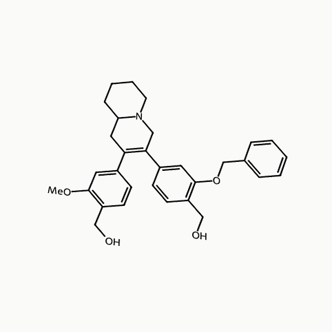 COc1cc(C2=C(c3ccc(CO)c(OCc4ccccc4)c3)CN3CCCCC3C2)ccc1CO